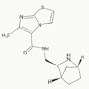 Cc1nc2sccn2c1C(=O)NC[C@H]1N[C@@H]2CC[C@H]1C2